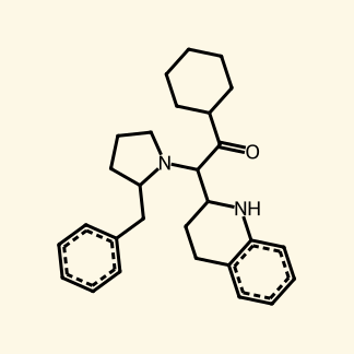 O=C(C1CCCCC1)C(C1CCc2ccccc2N1)N1CCCC1Cc1ccccc1